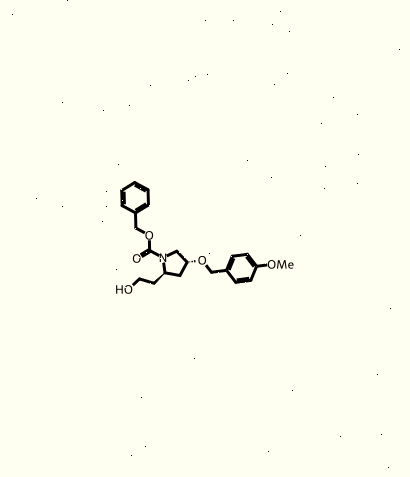 COc1ccc(CO[C@@H]2C[C@@H](CCO)N(C(=O)OCc3ccccc3)C2)cc1